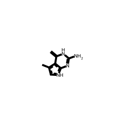 C=C1NC(N)=Nc2[nH]cc(C)c21